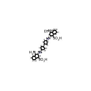 CCNc1cc(/N=N/c2ccc(-c3ccc(/N=N/c4cc(S(=O)(=O)O)c5ccccc5c4N)cc3)cc2)c(S(=O)(=O)O)c2ccccc12